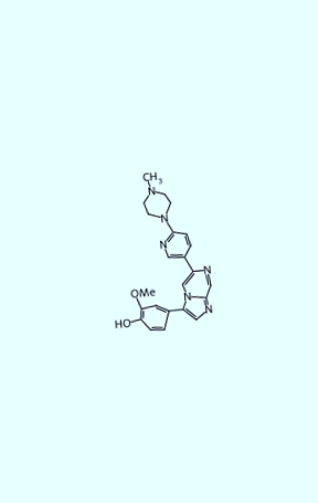 COc1cc(-c2cnc3cnc(-c4ccc(N5CCN(C)CC5)nc4)cn23)ccc1O